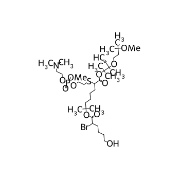 C#CC(C)(OCCC(C)(C)OC)C(C)(C)OC(=O)C(CCCCC(C)(C)OC(=O)C(Br)CCCCO)SCCOP(=O)(OC)OCCN(C)C